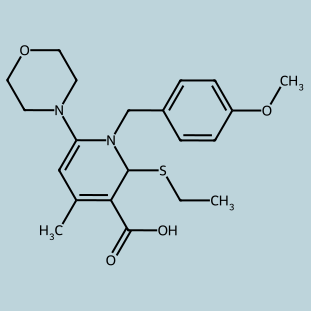 CCSC1C(C(=O)O)=C(C)C=C(N2CCOCC2)N1Cc1ccc(OC)cc1